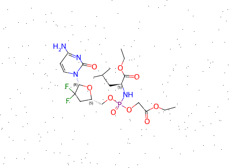 CCOC(=O)COP(=O)(N[C@@H](CC(C)C)C(=O)OCC)OC[C@@H]1CC(F)(F)[C@H](n2ccc(N)nc2=O)O1